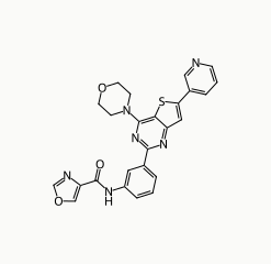 O=C(Nc1cccc(-c2nc(N3CCOCC3)c3sc(-c4cccnc4)cc3n2)c1)c1cocn1